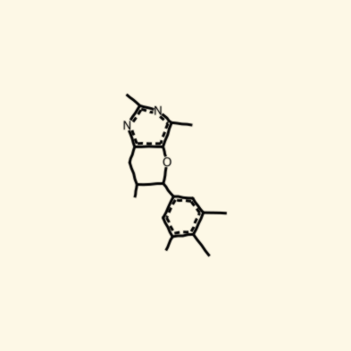 Cc1nc(C)c2c(n1)CC(C)C(c1cc(C)c(C)c(C)c1)O2